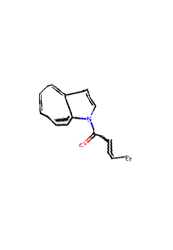 CCC=CC(=O)n1ccc2ccccc21